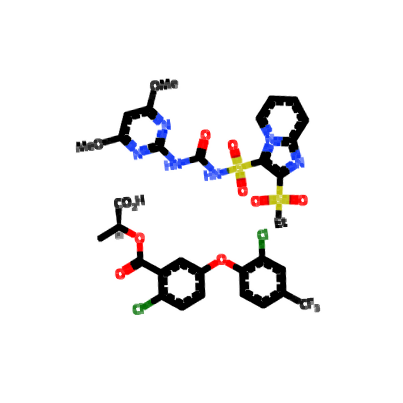 CCS(=O)(=O)c1nc2ccccn2c1S(=O)(=O)NC(=O)Nc1nc(OC)cc(OC)n1.C[C@H](OC(=O)c1cc(Oc2ccc(C(F)(F)F)cc2Cl)ccc1Cl)C(=O)O